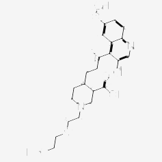 CCCSCCN1CCC(CC[C@@H](F)c2c(Cl)cnc3ccc(OC)cc23)C(C(=O)O)C1